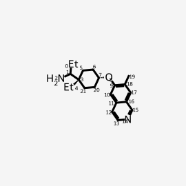 CCC(N)[C@]1(CC)CC[C@H](Oc2cc3ccncc3cc2C)CC1